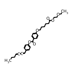 CCCC=C=C=Cc1ccc(OC(=O)c2ccc(OCCCCCC(=O)OCCOCC)cc2)cc1